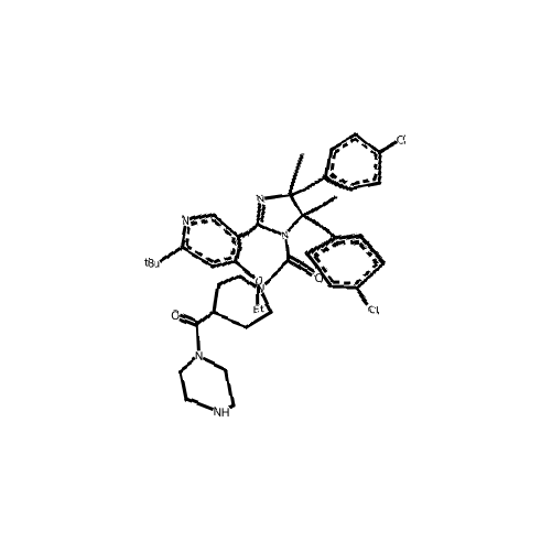 CCOc1cc(C(C)(C)C)ncc1C1=NC(C)(c2ccc(Cl)cc2)C(C)(c2ccc(Cl)cc2)N1C(=O)N1CCC(C(=O)N2CCNCC2)CC1